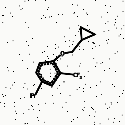 CC(C)c1ccc(OCC2CC2)c(C(F)(F)F)c1